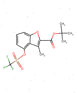 Cc1c(C(=O)OC(C)(C)C)oc2cccc(OS(=O)(=O)C(F)(F)F)c12